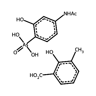 CC(=O)Nc1ccc([As](=O)(O)O)c(O)c1.Cc1cccc(C(=O)O)c1O